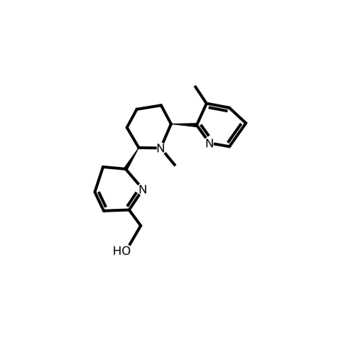 Cc1cccnc1[C@@H]1CCC[C@H](C2CC=CC(CO)=N2)N1C